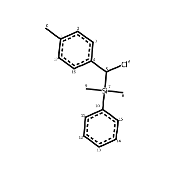 Cc1ccc(C(Cl)[Si](C)(C)c2ccccc2)cc1